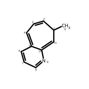 CC1C=CC=c2cccnc2=C1